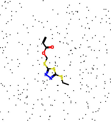 C=CC(=O)OCSc1nnc(SCC)s1